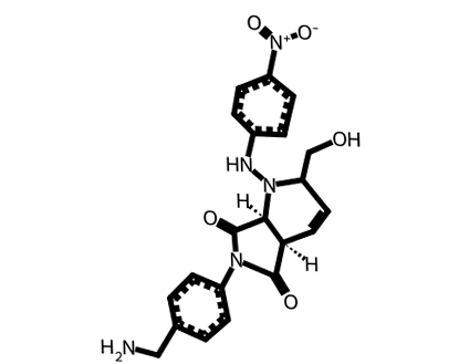 NCc1ccc(N2C(=O)[C@@H]3[C@@H](C=CC(CO)N3Nc3ccc([N+](=O)[O-])cc3)C2=O)cc1